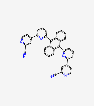 N#Cc1cc(-c2cccc(-c3c4ccccc4c(-c4cccc(-c5ccnc(C#N)c5)n4)c4ccccc34)n2)ccn1